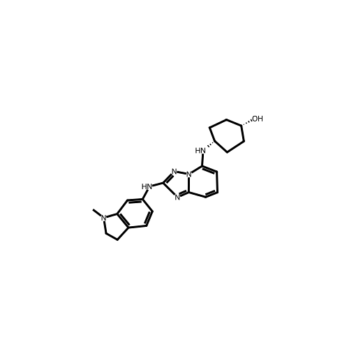 CN1CCc2ccc(Nc3nc4cccc(N[C@H]5CC[C@@H](O)CC5)n4n3)cc21